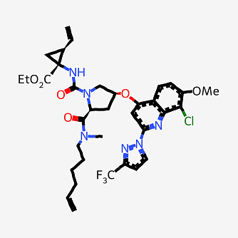 C=CCCCCN(C)C(=O)[C@@H]1C[C@H](Oc2cc(-n3ccc(C(F)(F)F)n3)nc3c(Cl)c(OC)ccc23)CN1C(=O)N[C@]1(C(=O)OCC)C[C@H]1C=C